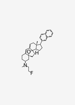 CN(CCF)[C@H]1CCC2=CC3=CC[C@]4(C)C(c5ccc6ccccc6c5)CC[C@H]4C34CC[C@]2(C1)O4